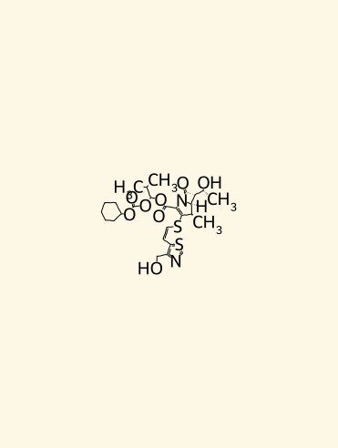 CC(C)C(OC(=O)OC1CCCCC1)OC(=O)C1=C(S/C=C\c2scnc2CO)[C@H](C)[C@@H]2[C@@H]([C@@H](C)O)C(=O)N12